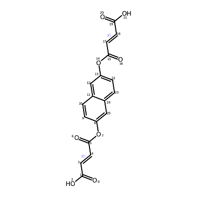 O=C(O)/C=C/C(=O)Oc1ccc2cc(OC(=O)/C=C/C(=O)O)ccc2c1